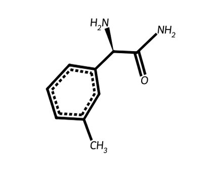 Cc1cccc([C@@H](N)C(N)=O)c1